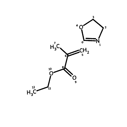 C1=NCCO1.C=C(C)C(=O)OCC